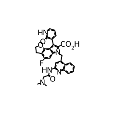 CN(C)CC(=O)Nc1cc(Cn2c(C(=O)O)c(-c3ccc[nH]c3=O)c3c4c(c(F)cc32)CCO4)c2ccccc2n1